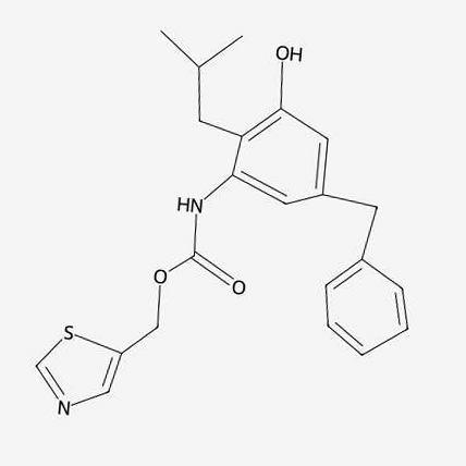 CC(C)Cc1c(O)cc(Cc2ccccc2)cc1NC(=O)OCc1cncs1